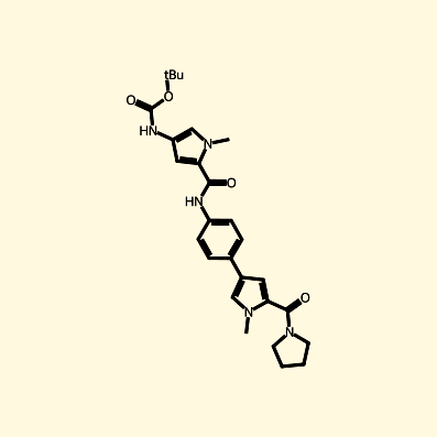 Cn1cc(NC(=O)OC(C)(C)C)cc1C(=O)Nc1ccc(-c2cc(C(=O)N3CCCC3)n(C)c2)cc1